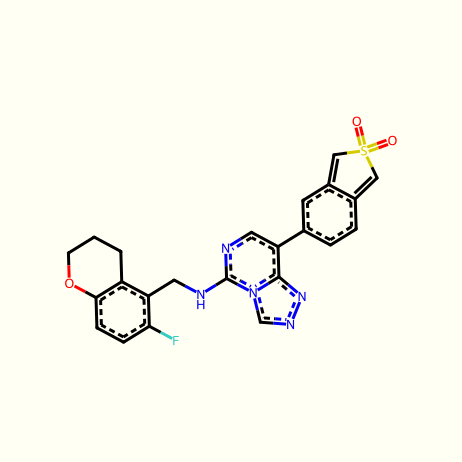 O=S1(=O)C=c2ccc(-c3cnc(NCc4c(F)ccc5c4CCCO5)n4cnnc34)cc2=C1